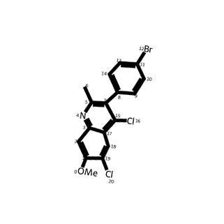 COc1cc2nc(C)c(-c3ccc(Br)cc3)c(Cl)c2cc1Cl